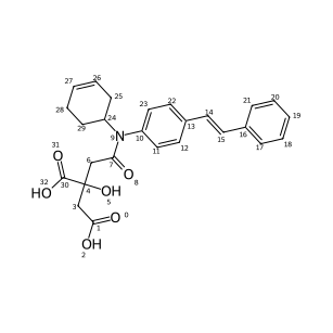 O=C(O)CC(O)(CC(=O)N(c1ccc(C=Cc2ccccc2)cc1)C1CC=CCC1)C(=O)O